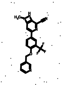 Cn1[nH]c2c(C#N)nc(-c3ccc(OCc4cccnc4)c(C(F)(F)F)c3)cc21